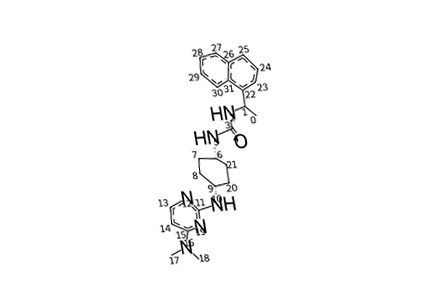 CC(NC(=O)N[C@H]1CC[C@@H](Nc2nccc(N(C)C)n2)CC1)c1cccc2ccccc12